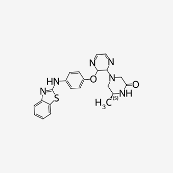 C[C@H]1CN(C2N=CC=NC2Oc2ccc(Nc3nc4ccccc4s3)cc2)CC(=O)N1